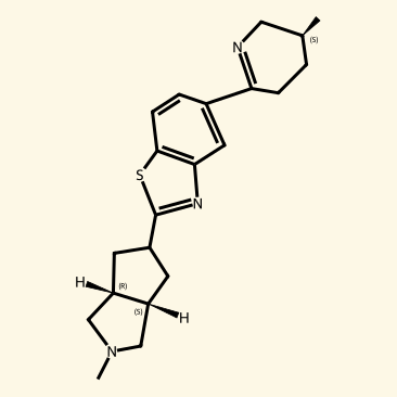 C[C@H]1CCC(c2ccc3sc(C4C[C@@H]5CN(C)C[C@@H]5C4)nc3c2)=NC1